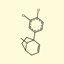 CN1C2CC=CC1(c1ccc(Cl)c(Cl)c1)CC2